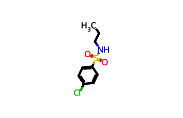 CCCNS(=O)(=O)c1ccc(Cl)cc1